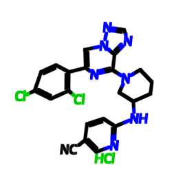 Cl.N#Cc1ccc(NC2CCCN(c3nc(-c4ccc(Cl)cc4Cl)cn4ncnc34)C2)nc1